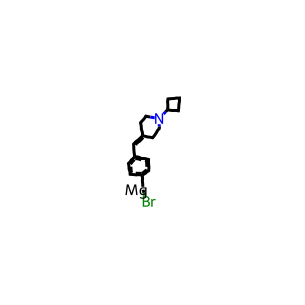 [Br][Mg][c]1ccc(C=C2CCN(C3CCC3)CC2)cc1